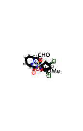 COCCN1C[C@H](C=O)C2CCCC(C1=O)N2S(=O)(=O)c1cc(Cl)cc(Cl)c1